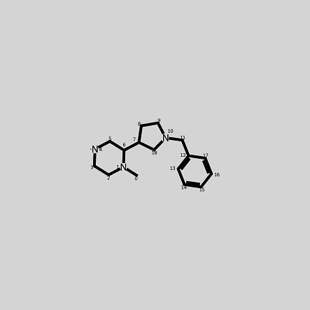 CN1CC[N]CC1C1CCN(Cc2ccccc2)C1